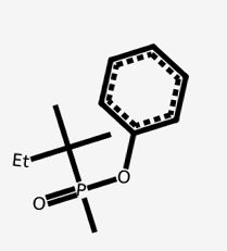 CCC(C)(C)P(C)(=O)Oc1ccccc1